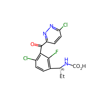 CC[C@@H](NC(=O)O)c1ccc(Cl)c(C(=O)c2ccc(Cl)nn2)c1F